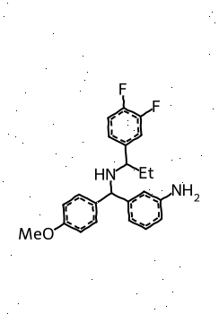 CCC(NC(c1ccc(OC)cc1)c1cccc(N)c1)c1ccc(F)c(F)c1